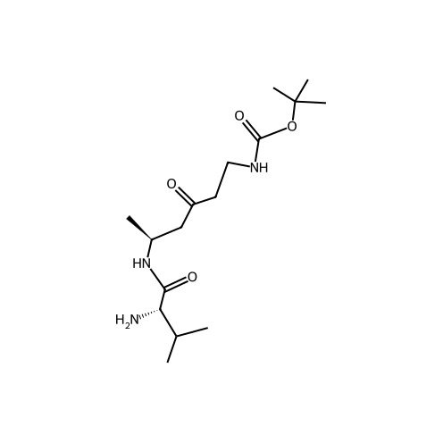 CC(C)[C@H](N)C(=O)N[C@@H](C)CC(=O)CCNC(=O)OC(C)(C)C